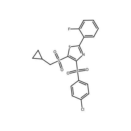 O=S(=O)(CC1CC1)c1sc(-c2ccccc2F)nc1S(=O)(=O)c1ccc(Cl)cc1